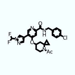 CC(=O)N1CCC(Oc2cc(C(=O)NCc3ccc(Cl)cc3)ncc2-c2cnn(C(F)F)c2)CC12CC2